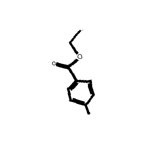 [CH2]COC(=O)c1ccc(C)cc1